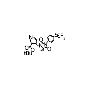 CC(C)(C)OC(=O)c1cnccc1CN1C(=O)N(c2ccc(SC(F)(F)F)cc2)C(=O)C12CC2